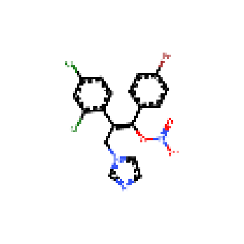 O=[N+]([O-])OC(=C(Cn1ccnc1)c1ccc(Cl)cc1Cl)c1ccc(Br)cc1